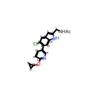 CC(=O)NCc1cc2cc(Cl)c(-c3ccc(OC4CC4)nc3)cc2[nH]1